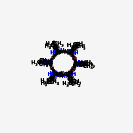 CC(C)(C)c1ccc(B2NB3NB(N2)c2ccc(cc2)B2NB(NB(c4ccc(C(C)(C)C)cc4)N2)c2ccc(cc2)B2NB(NB(c4ccc(C(C)(C)C)cc4)N2)c2ccc(cc2)B2NB(NB(c4ccc(C(C)(C)C)cc4)N2)c2ccc(cc2)B2NB(NB(c4ccc(C(C)(C)C)cc4)N2)c2ccc(cc2)B2NB(NB(c4ccc(C(C)(C)C)cc4)N2)c2ccc3cc2)cc1